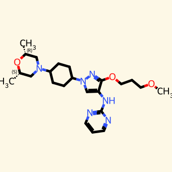 COCCCOc1nn(C2CCC(N3C[C@@H](C)O[C@@H](C)C3)CC2)cc1Nc1ncccn1